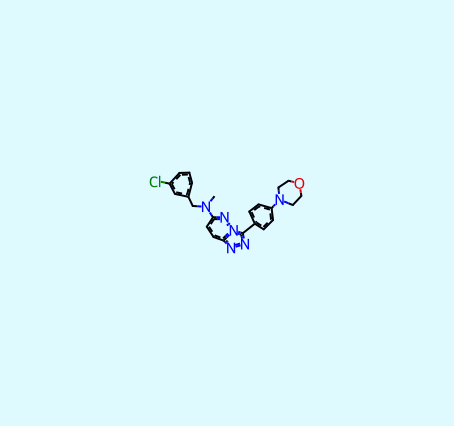 CN(Cc1cccc(Cl)c1)c1ccc2nnc(-c3ccc(N4CCOCC4)cc3)n2n1